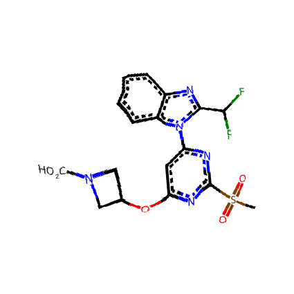 CS(=O)(=O)c1nc(OC2CN(C(=O)O)C2)cc(-n2c(C(F)F)nc3ccccc32)n1